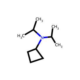 CC(C)N(C(C)C)C1CCC1